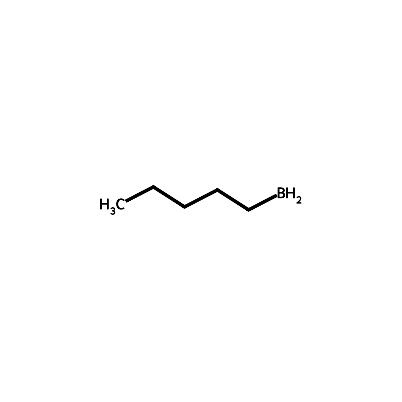 BCCCCC